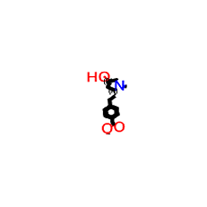 COC(=O)c1ccc(CC[C@@H]2C[C@@H](O)CN2C)cc1